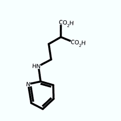 O=C(O)C(CCNc1ccccn1)C(=O)O